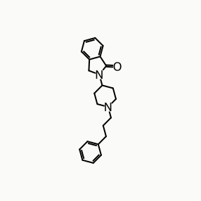 O=C1c2ccccc2CN1C1CCN(CCCc2ccccc2)CC1